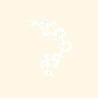 CN1CC[C@@](O)(c2cc(-c3cccc(-c4ccnc(Nc5cn(C)nc5F)n4)n3)no2)C1=O